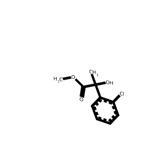 COC(=O)C(C)(O)c1ccccc1Cl